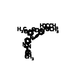 COc1cc(OC)cc(N(CC#CC2CCN(C(=O)OC(C)(C)C)CC2)c2ccc3ncc(-c4cnn(C)c4)nc3c2)c1